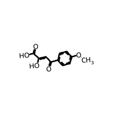 COc1ccc(C(=O)C=C(O)C(=O)O)cc1